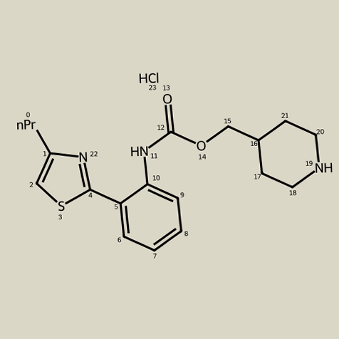 CCCc1csc(-c2ccccc2NC(=O)OCC2CCNCC2)n1.Cl